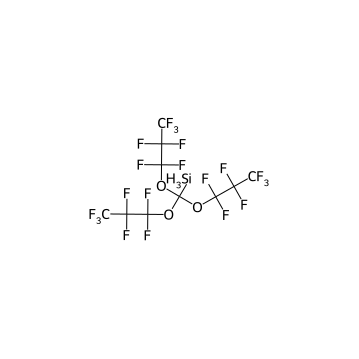 FC(F)(F)C(F)(F)C(F)(F)OC([SiH3])(OC(F)(F)C(F)(F)C(F)(F)F)OC(F)(F)C(F)(F)C(F)(F)F